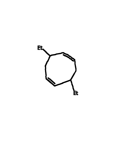 CCC1C=CCC(CC)C=CC1